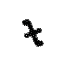 c1ccc(-c2ccc(C(c3ccc(-c4ccccc4)cc3)(c3ccc(-c4ccc(-c5ccc6ccc7cccnc7c6n5)cc4)cc3)c3ccc(-c4ccc(-c5ccc6ccc7cccnc7c6n5)cc4)cc3)cc2)cc1